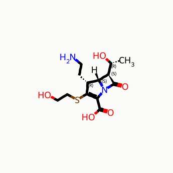 C[C@@H](O)[C@H]1C(=O)N2C(C(=O)O)=C(SCCO)[C@H](CCN)[C@H]12